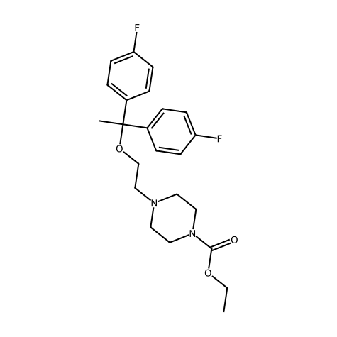 CCOC(=O)N1CCN(CCOC(C)(c2ccc(F)cc2)c2ccc(F)cc2)CC1